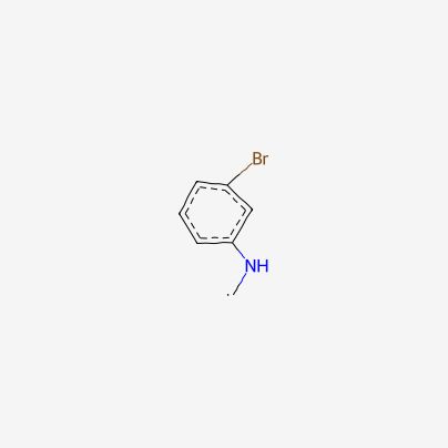 [CH2]Nc1cccc(Br)c1